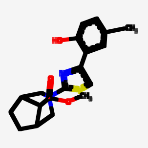 COC(=O)C1C2CCC1CN(c1nc(-c3cc(C)ccc3O)cs1)C2